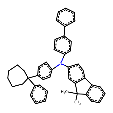 CC1(C)c2ccccc2-c2ccc(N(c3ccc(-c4ccccc4)cc3)c3ccc(C4(c5ccccc5)CCCCCC4)cc3)cc21